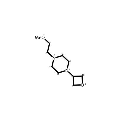 COCCN1CCN(C2COC2)CC1